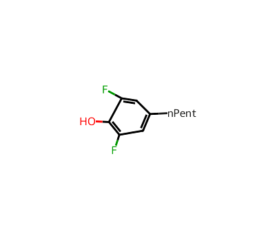 CCCCCc1cc(F)c(O)c(F)c1